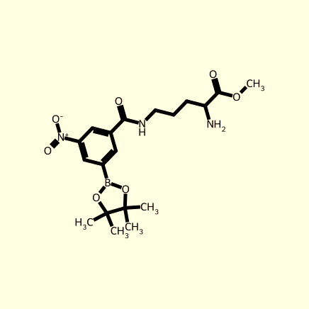 COC(=O)C(N)CCCNC(=O)c1cc(B2OC(C)(C)C(C)(C)O2)cc([N+](=O)[O-])c1